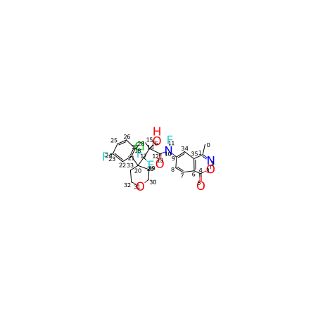 Cc1noc(=O)c2ccc(N(F)C(=O)C(C)(O)C(F)(F)C3(c4cc(F)ccc4Cl)CCOCC3)cc12